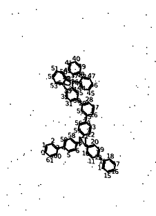 c1ccc(-c2ccc(N(c3ccc(-c4ccccc4)cc3)c3ccc(-c4cccc(-c5ccc6c(c5)[Si](c5ccccc5)(c5ccccc5)c5ccccc5-6)c4)cc3)cc2)cc1